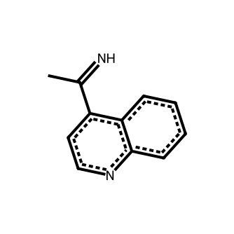 CC(=N)c1ccnc2ccccc12